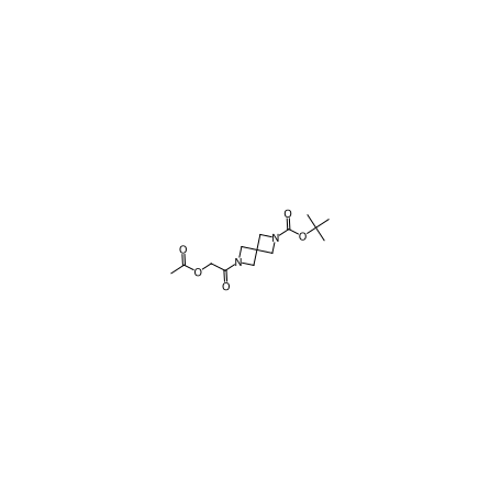 CC(=O)OCC(=O)N1CC2(C1)CN(C(=O)OC(C)(C)C)C2